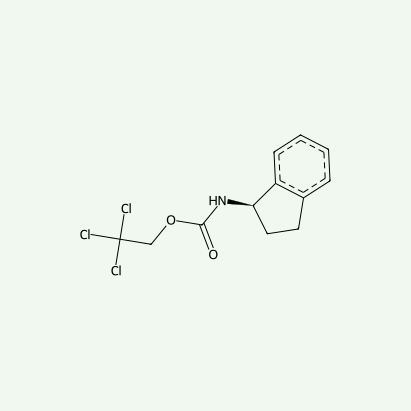 O=C(N[C@@H]1CCc2ccccc21)OCC(Cl)(Cl)Cl